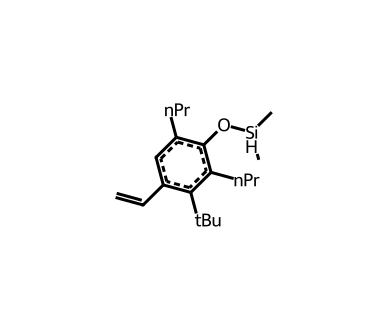 C=Cc1cc(CCC)c(O[SiH](C)C)c(CCC)c1C(C)(C)C